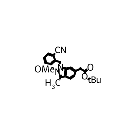 COc1cccc(C#N)c1Cn1nc(C)c2ccc(CC(=O)OC(C)(C)C)cc21